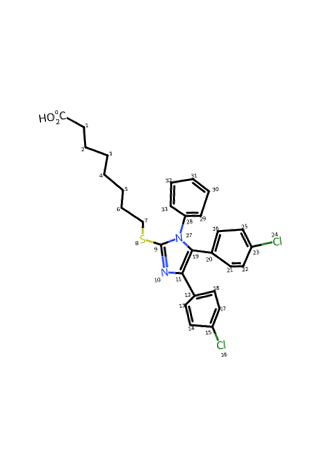 O=C(O)CCCCCCCSc1nc(-c2ccc(Cl)cc2)c(-c2ccc(Cl)cc2)n1-c1ccccc1